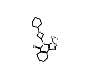 Cn1ncc2c3c(c(=O)n(C4CN(C5CCCCC5)C4)c21)CCCC3